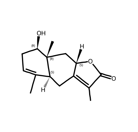 CC1=CC[C@@H](O)[C@]2(C)C[C@@H]3OC(=O)C(C)=C3C[C@@H]12